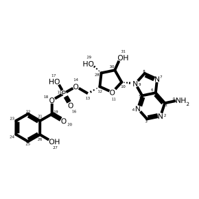 Nc1ncnc2c1ncn2[C@@H]1O[C@H](COP(=O)(O)OC(=O)c2ccccc2O)[C@H](O)C1O